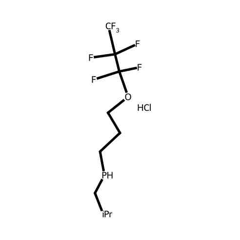 CC(C)CPCCCOC(F)(F)C(F)(F)C(F)(F)F.Cl